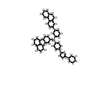 c1ccc(-c2ccc(-c3ccc(N(c4cccc(-c5ccc6c(ccc7ccccc76)c5)c4)c4ccc5c(c4)-c4cccc6cccc-5c46)cc3)s2)cc1